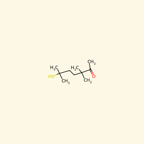 CC(=O)C(C)(C)CCC(C)(C)S